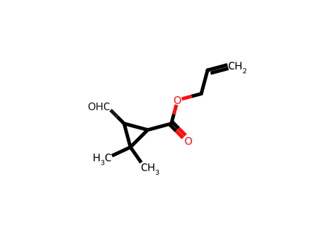 C=CCOC(=O)C1C(C=O)C1(C)C